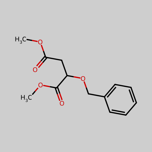 COC(=O)CC(OCc1ccccc1)C(=O)OC